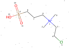 C[N+](C)(CCCl)CCCS(=O)(=O)O